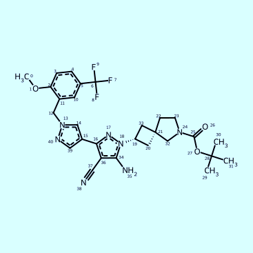 COc1ccc(C(F)(F)F)cc1Cn1cc(-c2nn([C@H]3C[C@@]4(CCN(C(=O)OC(C)(C)C)C4)C3)c(N)c2C#N)cn1